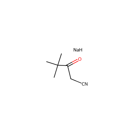 CC(C)(C)C(=O)CC#N.[NaH]